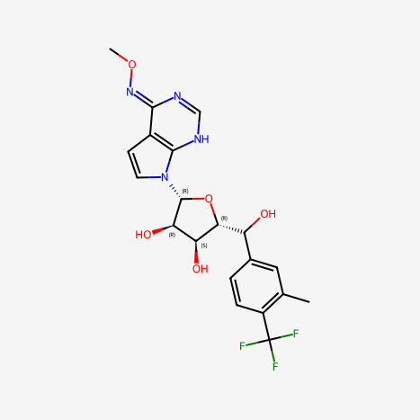 CON=c1nc[nH]c2c1ccn2[C@@H]1O[C@H](C(O)c2ccc(C(F)(F)F)c(C)c2)[C@@H](O)[C@H]1O